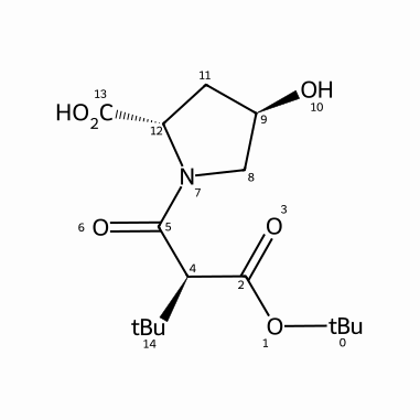 CC(C)(C)OC(=O)[C@H](C(=O)N1C[C@H](O)C[C@H]1C(=O)O)C(C)(C)C